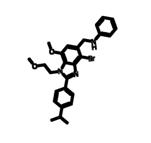 COCCn1c(-c2ccc(C(C)C)cc2)nc2c(Br)c(CNc3ccccc3)cc(OC)c21